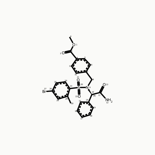 COC(=O)c1ccc(CN([C@@H](C(N)=O)c2ccccc2)S(=O)(=O)c2ccc(Br)cc2C)cc1